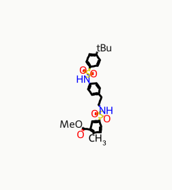 COC(=O)c1cc(S(=O)(=O)NCCc2ccc(NS(=O)(=O)c3ccc(C(C)(C)C)cc3)cc2)ccc1C